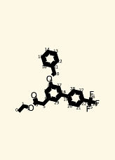 CCOC(=O)Cc1cc(OCc2ccccc2)cc(-c2ccc(C(F)(F)F)cc2)c1